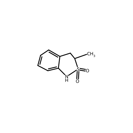 CC1Cc2ccccc2NS1(=O)=O